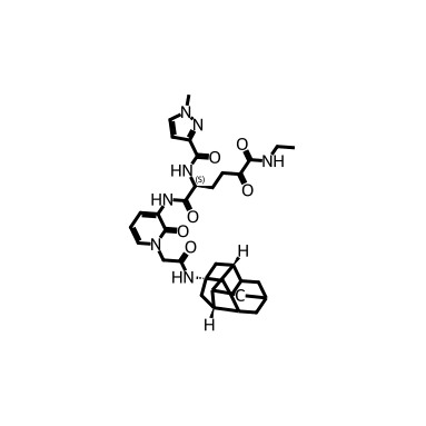 CCNC(=O)C(=O)CC[C@H](NC(=O)c1ccn(C)n1)C(=O)Nc1cccn(CC(=O)N[C@]23CC4C5CC6CC4[C@H](C2)C(C6)[C@@H]5C3)c1=O